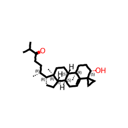 CC(C)C(=O)CC[C@@H](C)[C@H]1CC[C@H]2[C@@H]3CC=C4C5(CC5)[C@@H](O)CC[C@]4(C)[C@H]3CC[C@]12C